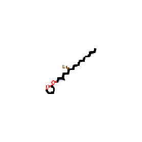 CCCCCCCCCCC(Br)CC/C(C)=C/COC1CCCCO1